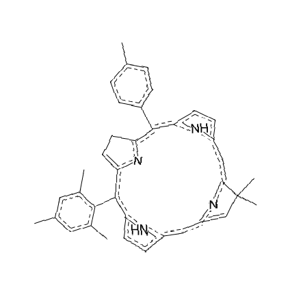 Cc1ccc(-c2c3nc(c(-c4c(C)cc(C)cc4C)c4ccc(cc5nc(cc6ccc2[nH]6)C(C)(C)C=5)[nH]4)=CC3)cc1